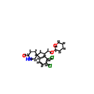 O=C1CCC(CCCOC2CCCCO2)(c2ccc(Cl)c(Cl)c2)CN1